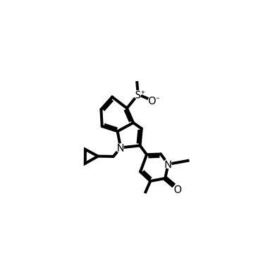 Cc1cc(-c2cc3c([S+](C)[O-])cccc3n2CC2CC2)cn(C)c1=O